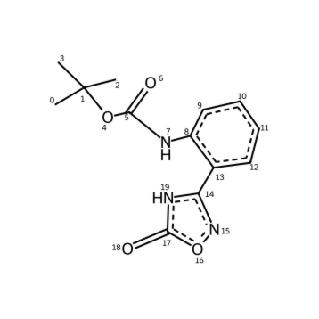 CC(C)(C)OC(=O)Nc1ccccc1-c1noc(=O)[nH]1